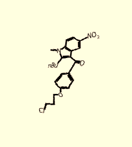 CCCCc1c(C(=O)c2ccc(OCCCCl)cc2)c2cc([N+](=O)[O-])ccc2n1C